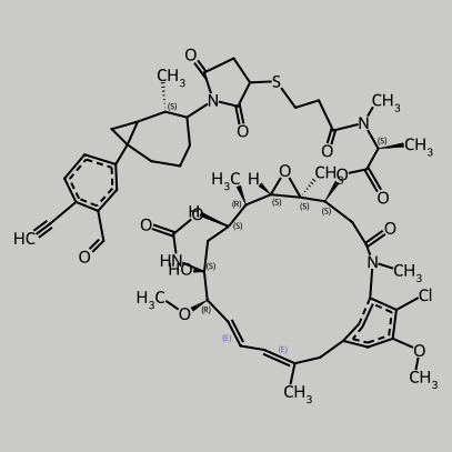 C#Cc1ccc(C23CCCC(N4C(=O)CC(SCCC(=O)N(C)[C@@H](C)C(=O)O[C@H]5CC(=O)N(C)c6cc(cc(OC)c6Cl)C/C(C)=C/C=C/[C@@H](OC)[C@@]6(O)C[C@H](OC(=O)N6)[C@@H](C)[C@@H]6O[C@@]56C)C4=O)[C@@H](C)C2C3)cc1C=O